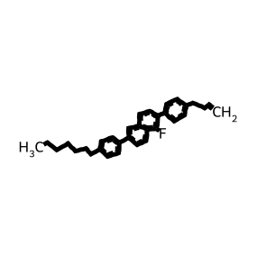 C=CCCc1ccc(-c2ccc3cc(-c4ccc(CCCCCCC)cc4)ccc3c2F)cc1